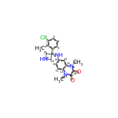 Cc1c(Cl)cccc1C1(Nc2ccc3c(c2)n(C)c(=O)c(=O)n3C)CNC1